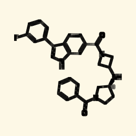 O=C(c1ccc2c(-c3cccc(F)c3)c[nH]c2c1)N1CC(N[C@H]2CCN(C(=O)c3ccccc3)C2)C1